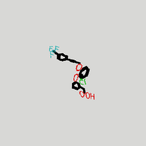 O=C(O)Cc1cccc(Oc2c(Cl)cccc2OCC#Cc2ccc(C(F)(F)F)cc2)c1